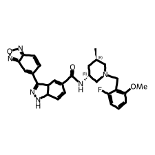 COc1cccc(F)c1CN1C[C@H](C)C[C@@H](NC(=O)C2=CC3C(c4ccc5nonc5c4)=NNC3C=C2)C1